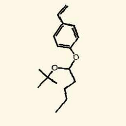 C=Cc1ccc(OC(CCCC)OC(C)(C)C)cc1